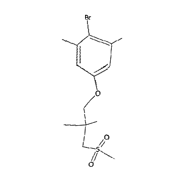 Cc1cc(OCC(C)(C)CS(C)(=O)=O)cc(C)c1Br